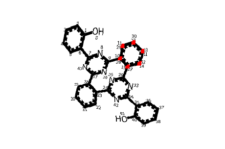 Oc1ccccc1-c1nc(-c2ccccc2)nc(-c2ccccc2-c2nc(-c3ccccc3)nc(-c3ccccc3O)n2)n1